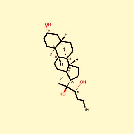 CC(C)CC[C@@H](O)C(C)(O)[C@H]1CC[C@H]2[C@@H]3CC[C@H]4C[C@@H](O)CC[C@]4(C)[C@H]3CC[C@]12C